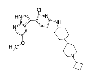 COc1cnc2[nH]cc(-c3ccc(NC4CCC(C5CCN(C6CCC6)CC5)CC4)nc3Cl)c2c1